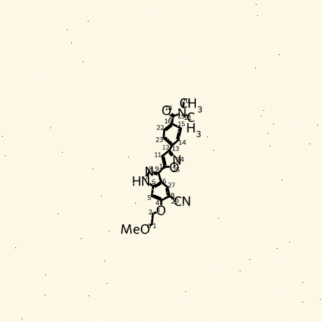 COCCOc1cc2[nH]nc(-c3cc(-c4ccc(C(=O)N(C)C)cc4)no3)c2cc1C#N